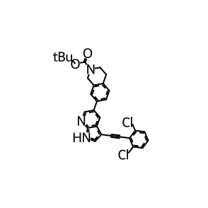 CC(C)(C)OC(=O)N1CCc2ccc(-c3cnc4[nH]cc(C#Cc5c(Cl)cccc5Cl)c4c3)cc2C1